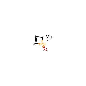 O=[PH]1C=CC1.[Mg]